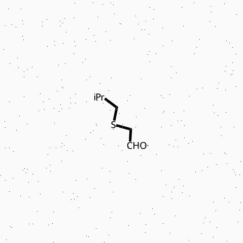 CC(C)CSC[C]=O